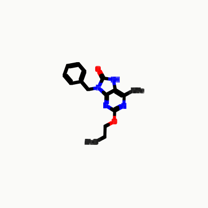 CNc1nc(OCCOC)nc2c1[nH]c(=O)n2Cc1ccccc1